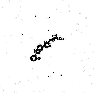 CC(C)(C)[Si](C)(C)OCc1nc(-c2ccc3nc(-c4ccccc4F)cn3c2)cs1